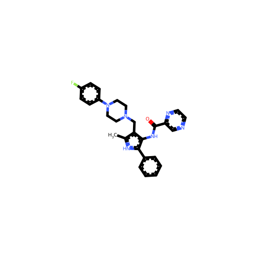 Cc1[nH]c(-c2ccccc2)c(NC(=O)c2cnccn2)c1CN1CCN(c2ccc(F)cc2)CC1